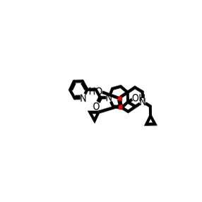 O=C(Cc1ccccn1)N1CCC23CCN(CC4CC4)C(Cc4cc(C5CC5)c(O)cc42)C3(O)CC1